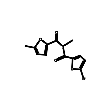 Cc1ccc(C(=O)N(C)C(=O)c2ccc(Br)o2)o1